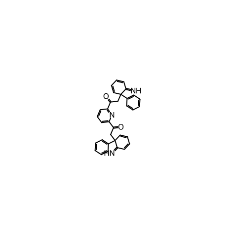 N=C1C=CC=CC1(CC(=O)c1cccc(C(=O)CC2(c3ccccc3)C=CC=CC2=N)n1)c1ccccc1